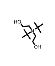 CC(C)(C)[N+](CCO)(CCO)C(C)(C)C